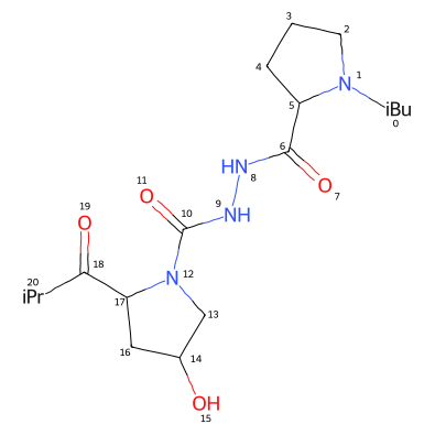 CCC(C)N1CCCC1C(=O)NNC(=O)N1CC(O)CC1C(=O)C(C)C